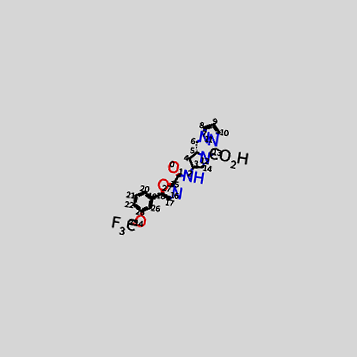 O=C(NC1C[C@H](Cn2cccn2)N(C(=O)O)C1)c1ncc(-c2cccc(OC(F)(F)F)c2)o1